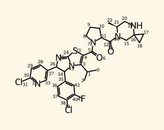 CC(C)C1=C(C(=O)N2CCCC2C(=O)N2CC3(CC3)NC[C@@H]2C)SC2=NC(c3ccc(Cl)nc3)C(c3ccc(Cl)c(F)c3)N21